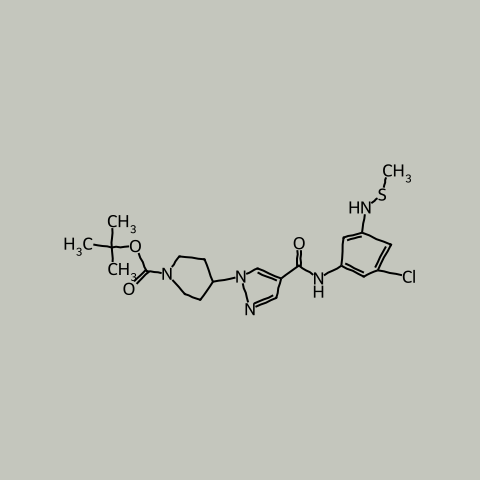 CSNc1cc(Cl)cc(NC(=O)c2cnn(C3CCN(C(=O)OC(C)(C)C)CC3)c2)c1